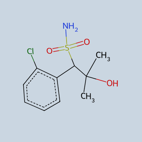 CC(C)(O)C(c1ccccc1Cl)S(N)(=O)=O